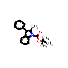 Cc1c(-c2ccccc2)c2ccccc2n1C(=O)OC(C)(C)C